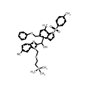 Cc1ccc(S(=O)(=O)n2ccc3c(C(O)c4nc5ccc(C#N)cc5n4COCC[Si](C)(C)C)c(COc4ccccc4)cc(C)c32)cc1